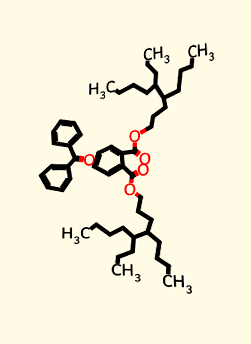 CCCCC(CCC)C(CCCC)CCCOC(=O)c1ccccc1C(=O)OCCCC(CCCC)C(CCC)CCCC.O=C(c1ccccc1)c1ccccc1